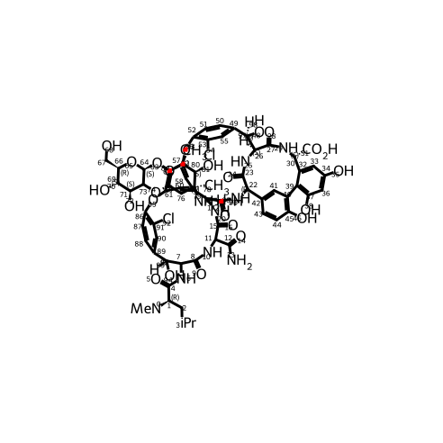 CN[C@H](CC(C)C)C(=O)NC1C(=O)NC(C(N)=O)C(=O)N[C@H]2C(=O)N[C@H]3C(=O)N[C@H](C(=O)N[C@H](C(=O)O)c4cc(O)cc(O)c4-c4cc3ccc4O)[C@H](O)c3ccc(c(Cl)c3)Oc3cc2cc(c3O[C@@H]2O[C@H](CO)[C@@H](O)[C@H](O)C2O[C@H]2C[C@](C)(N)[C@H](O)[C@H](C)O2)Oc2ccc(cc2Cl)[C@H]1O